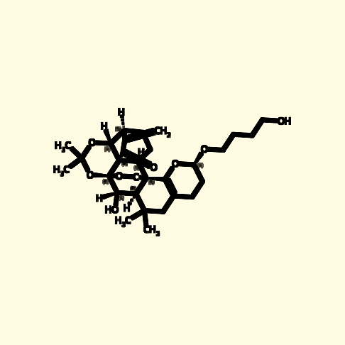 C=C1C(=O)[C@@]23[C@@H]4OC(C)(C)O[C@]25OC[C@]2(C6=C(CC[C@H](OCCCCO)O6)CC(C)(C)[C@H]2[C@@H]5O)[C@@H]3CC[C@@H]14